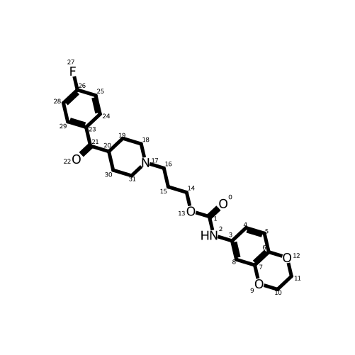 O=C(Nc1ccc2c(c1)OCCO2)OCCCN1CCC(C(=O)c2ccc(F)cc2)CC1